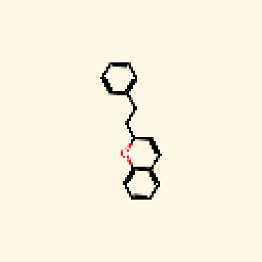 C1=CC(CCc2ccccc2)Oc2ccccc21